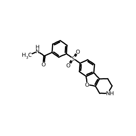 CNC(=O)c1cccc(S(=O)(=O)c2ccc3c4c(oc3c2)CNCC4)c1